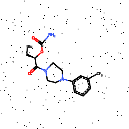 CC(C)(C)C[C@@H](OC(N)=O)C(=O)N1CCN(c2cccc(C(F)(F)F)c2)CC1